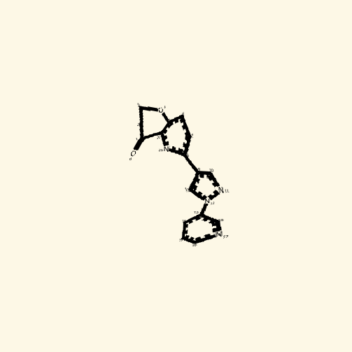 O=C1CCOc2ccc(-c3cnn(-c4cccnc4)c3)nc21